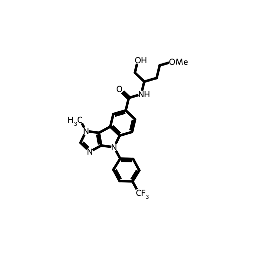 COCCC(CO)NC(=O)c1ccc2c(c1)c1c(ncn1C)n2-c1ccc(C(F)(F)F)cc1